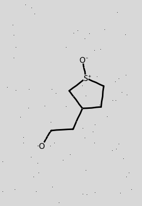 [O]CCC1CC[S+]([O-])C1